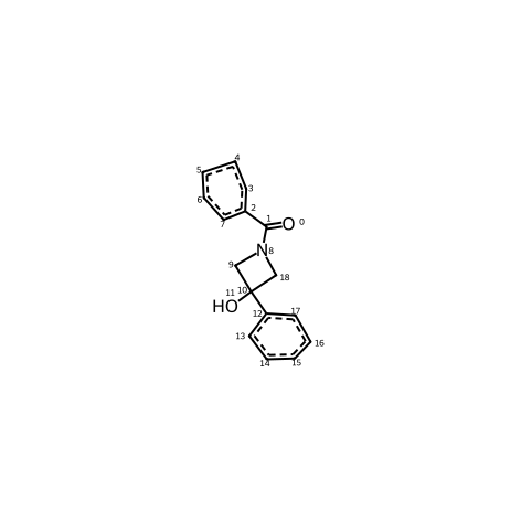 O=C(c1ccccc1)N1CC(O)(c2ccccc2)C1